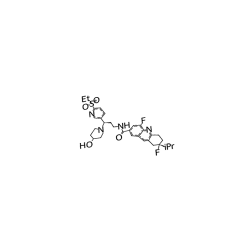 CCS(=O)(=O)c1ccc([C@@H](CCNC(=O)c2cc(F)c3nc4c(cc3c2)C[C@](F)(C(C)C)CC4)N2CCC(O)CC2)cn1